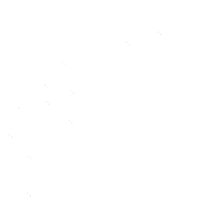 CC(=O)N1CCCN(c2cc(-n3nc(Nc4ccc(N5CCN(C(=O)C6CCOCC6)CC5)cc4)nc3N)ncn2)CC1